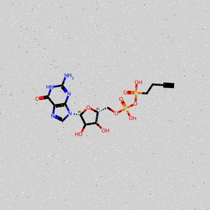 C#CCCP(=O)(O)OP(=O)(O)OC[C@H]1O[C@@H](n2cnc3c(=O)[nH]c(N)nc32)C(O)C1O